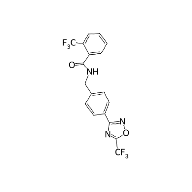 O=C(NCc1ccc(-c2noc(C(F)(F)F)n2)cc1)c1ccccc1C(F)(F)F